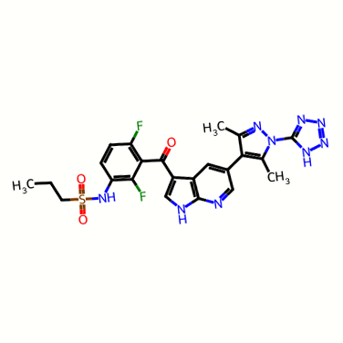 CCCS(=O)(=O)Nc1ccc(F)c(C(=O)c2c[nH]c3ncc(-c4c(C)nn(-c5nnn[nH]5)c4C)cc23)c1F